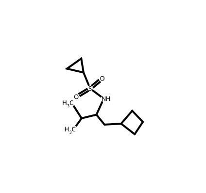 C[C](C)C(CC1CCC1)NS(=O)(=O)C1CC1